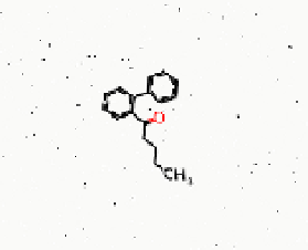 CCCCC(=O)c1ccccc1-c1ccccc1